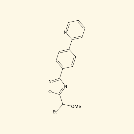 CCC(OC)c1nc(-c2ccc(-c3ccccn3)cc2)no1